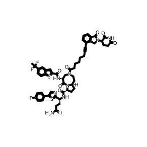 CC(F)(F)c1ccc2sc(C(=O)N[C@H]3CN(C(=O)CCCCCC#Cc4cccc5c4CN(C4CCC(=O)NC4=O)C5=O)CC[C@H]4CC[C@@H](C(=O)N[C@@H](CCC(N)=O)c5ncc(-c6ccc(F)cc6)s5)N4C3=O)cc2c1